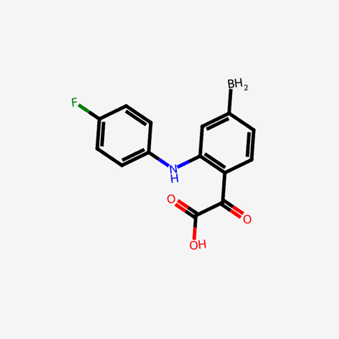 Bc1ccc(C(=O)C(=O)O)c(Nc2ccc(F)cc2)c1